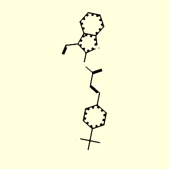 CC(C)(C)c1ccc(/C=C/C(=O)Nc2[nH]c3ccccc3c2C=O)cc1